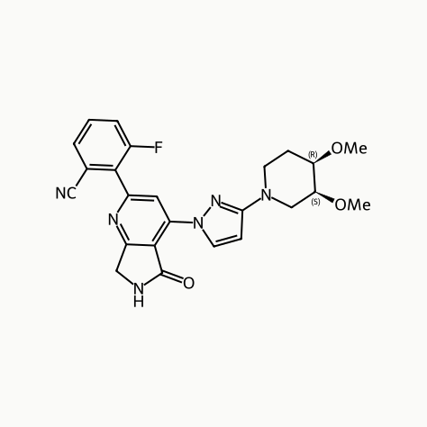 CO[C@H]1CN(c2ccn(-c3cc(-c4c(F)cccc4C#N)nc4c3C(=O)NC4)n2)CC[C@H]1OC